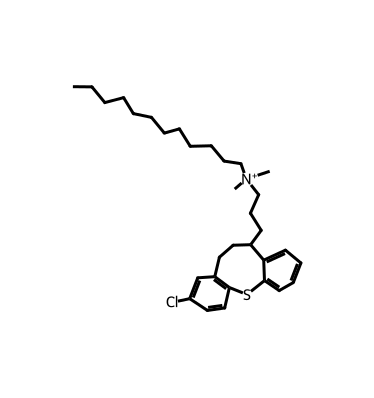 CCCCCCCCCCCC[N+](C)(C)CCCC1CCc2cc(Cl)ccc2Sc2ccccc21